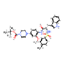 COc1cc(N2CCN(C(=O)OC(C)(C)C)CC2)ccc1NC(=O)[C@H](Cc1c[nH]c2ccccc12)NS(=O)(=O)c1ccc(C)cc1